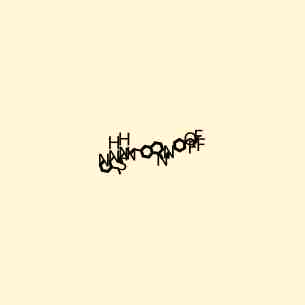 CCc1cccnc1NC(=S)N/N=C/c1ccc2c(ccc3c2ncn3-c2ccc(OC(F)(F)F)cc2)c1